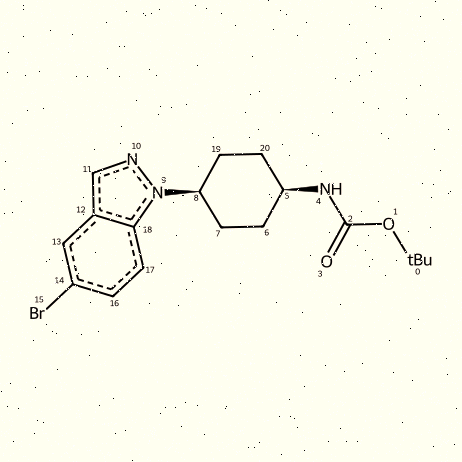 CC(C)(C)OC(=O)N[C@H]1CC[C@@H](n2ncc3cc(Br)ccc32)CC1